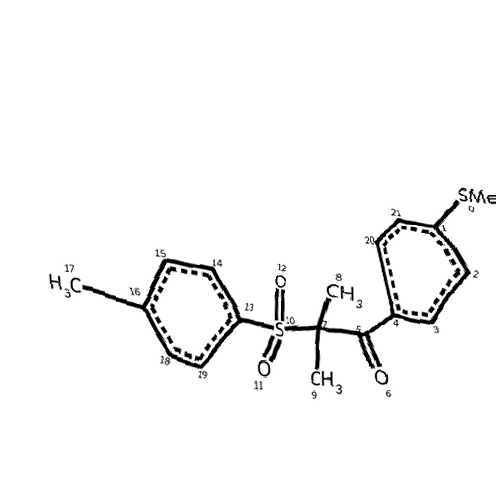 CSc1ccc(C(=O)C(C)(C)S(=O)(=O)c2ccc(C)cc2)cc1